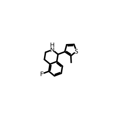 Cc1sccc1C1NCCc2c(F)cccc21